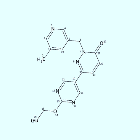 Cc1cncc(Cn2nc(-c3cnc(OCC(C)(C)C)nc3)ccc2=O)c1